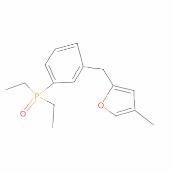 CCP(=O)(CC)c1cccc(Cc2cc(C)co2)c1